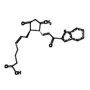 C=C1CC(=O)[C@H](C/C=C\CCCC(=O)O)[C@H]1/C=C/C(=O)c1cc2ccccc2s1